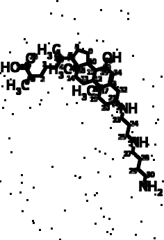 C[C@H](CCC[C@@H](C)[C@H]1CCC2C3C(CC[C@@]21C)[C@@]1(C)CC[C@H](NCCCNCCCCN)CC1=C[C@H]3O)C(=O)O